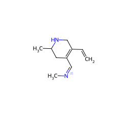 C=CC1=C(/C=N\C)CC(C)NC1